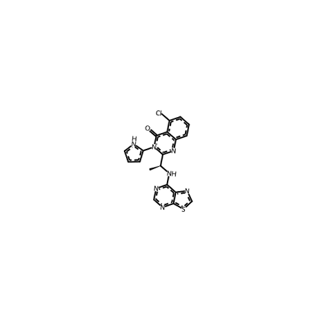 C[C@H](Nc1ncnc2scnc12)c1nc2cccc(Cl)c2c(=O)n1-c1ccc[nH]1